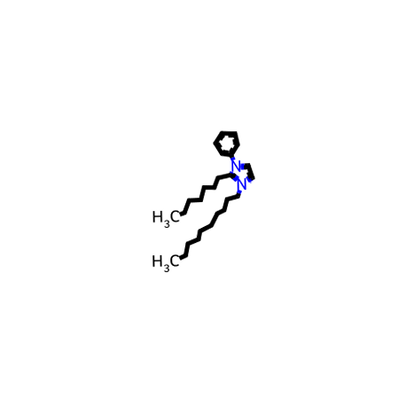 CCCCCCCCCC[n+]1ccn(-c2ccccc2)c1CCCCCCC